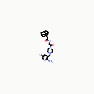 Nc1ncc(Cl)cc1CN1CCN(C(=O)CNC(=O)CC23CC4CC(CC(C4)C2)C3)CC1